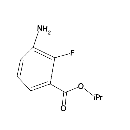 CC(C)OC(=O)c1cccc(N)c1F